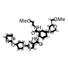 COCCNC(=O)c1cc(N2CCO[C@H](COC)C2)ccc1NC(=O)c1csc(N2CCC(Oc3ncccn3)CC2)n1